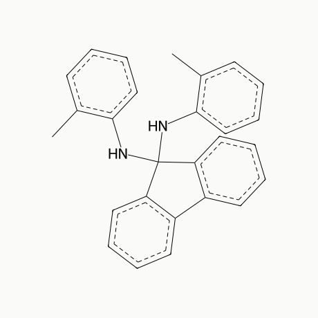 Cc1ccccc1NC1(Nc2ccccc2C)c2ccccc2-c2ccccc21